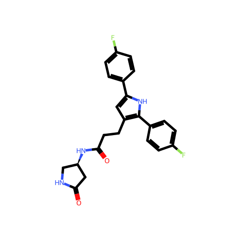 O=C1C[C@H](NC(=O)CCc2cc(-c3ccc(F)cc3)[nH]c2-c2ccc(F)cc2)CN1